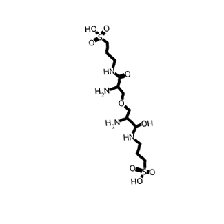 NC(COCC(N)C(O)NCCCS(=O)(=O)O)C(=O)NCCCS(=O)(=O)O